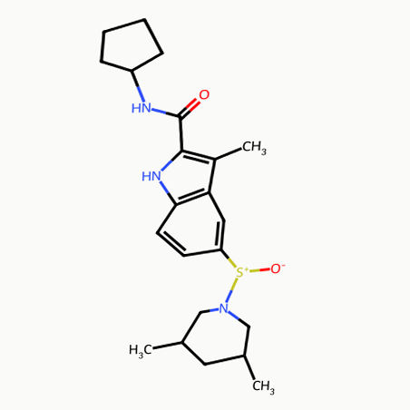 Cc1c(C(=O)NC2CCCC2)[nH]c2ccc([S+]([O-])N3CC(C)CC(C)C3)cc12